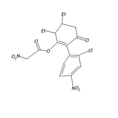 CCC1CC(=O)C(c2ccc([N+](=O)[O-])cc2Cl)=C(OC(=O)C[N+](=O)[O-])C1CC